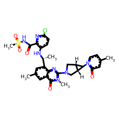 Cc1ccn(C2[C@H]3CN(c4nc5c([C@@H](C)Nc6ccc(Cl)nc6C(=O)NS(C)(=O)=O)cc(C)cc5c(=O)n4C)C[C@@H]23)c(=O)c1